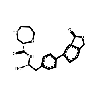 N#C[C@H](Cc1ccc(-c2ccc3c(c2)C(=O)OC3)cc1)NC(=O)[C@@H]1CNCCCO1